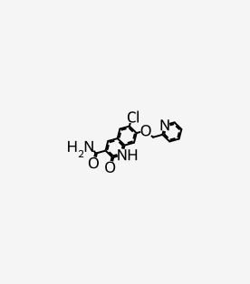 NC(=O)c1cc2cc(Cl)c(OCc3ccccn3)cc2[nH]c1=O